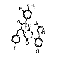 Cc1ccc(NC(=O)C(Cc2ccc(F)cc2)N2CC(=O)N(c3cc(Cl)ccc3-n3cc(Cl)nn3)CC2=O)cc1F